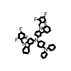 Fc1cc(F)c(Cn2c3ccccc3c3cc(N(c4ccc(N(c5ccccc5)c5ccccc5)cc4)c4ccc5c(c4)c4ccccc4n5Cc4c(F)cc(F)cc4F)ccc32)c(F)c1